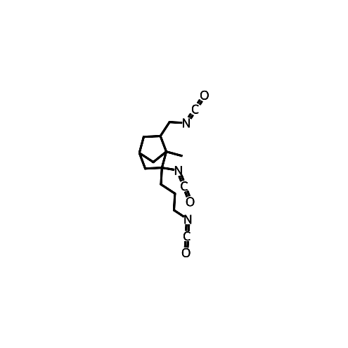 CC12CC(CC1CN=C=O)CC2(CCCN=C=O)N=C=O